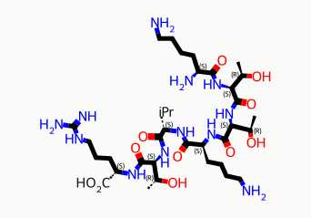 CC(C)[C@H](NC(=O)[C@H](CCCCN)NC(=O)[C@@H](NC(=O)[C@@H](NC(=O)[C@@H](N)CCCCN)[C@@H](C)O)[C@@H](C)O)C(=O)N[C@H](C(=O)N[C@@H](CCCNC(=N)N)C(=O)O)[C@@H](C)O